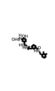 Cc1cccc(CCNC(=O)c2cccc(CC(C)(C)NC[C@H](O)c3ccc(O)c(NC=O)c3)c2)c1C